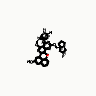 Oc1cc(-c2nc3c4c(nc(OC[C@@]56CCCN5C[C@H](F)C6)nc4c2F)N2C[C@H]4C[C@H]5C(N4)[C@@]52CO3)c2c(F)cccc2c1